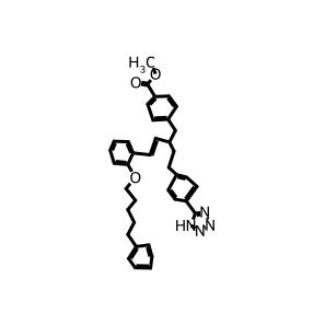 COC(=O)c1ccc(CC(/C=C/c2ccccc2OCCCCCc2ccccc2)CCc2ccc(-c3nnn[nH]3)cc2)cc1